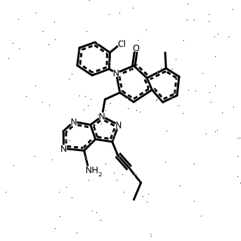 CCC#Cc1nn(Cc2cc3cccc(C)c3c(=O)n2-c2ccccc2Cl)c2ncnc(N)c12